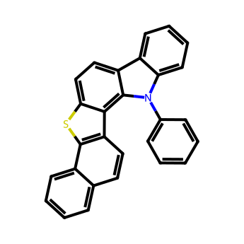 c1ccc(-n2c3ccccc3c3ccc4sc5c6ccccc6ccc5c4c32)cc1